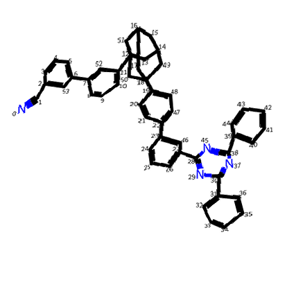 N#Cc1cccc(-c2cccc(C34CC5CC(CC(c6ccc(-c7cccc(-c8nc(-c9ccccc9)nc(-c9ccccc9)n8)c7)cc6)(C5)C3)C4)c2)c1